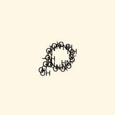 C/C=C/C[C@@H](C)C(OC(=O)COCC(=O)O)C1C(=O)NC(CC)C(=O)N(C)CC(=O)N(C)[C@@H](CC(C)C)C(=O)NC(C(C)C)C(=O)N(C)C(CC(C)C)C(=O)NC(C)C(=O)NC(C)C(=O)N(C)C(CC(C)C)C(=O)N(C)C(CC(C)C)C(=O)N(C)C(C(C)C)C(=O)N1C